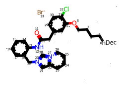 CCCCCCCCCCCCCCOc1cc(CC(=O)Nc2ccccc2Cn2cc3cccc[n+]3c2)ccc1Cl.[Br-]